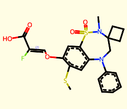 CSc1cc2c(cc1O/C=C(\F)C(=O)O)S(=O)(=O)N(C)C1(CCC1)CN2c1ccccc1